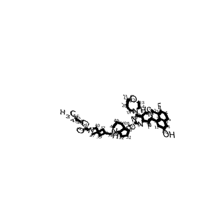 C#Cc1c(F)ccc2cc(O)cc(-c3ncc4c(N5CCCOCC5)nc(OC[C@]56CCC[C@H]5N(CC5CC7(C5)CN(C(=O)OCC)C7)CCC6)nc4c3F)c12